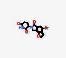 O=C1CCC(N2Cc3c(cc(Br)c4ccoc34)C2=O)C(=O)N1